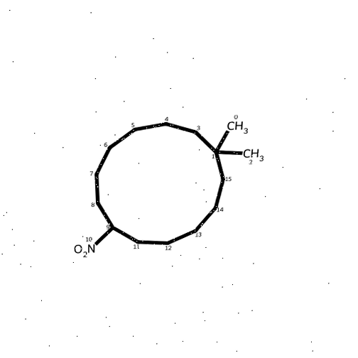 CC1(C)CCCCCCC([N+](=O)[O-])CCCCC1